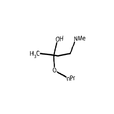 CCCOC(C)(O)CNC